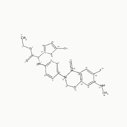 CCOC(=O)C(Nc1ccc(N2COc3cc(NC)c(F)cc3C2=O)cc1)c1ccc(Cl)s1